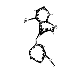 COc1cccc(Cc2c[nH]c3nccc(Br)c23)c1